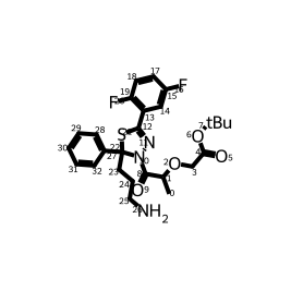 CC(OCC(=O)OC(C)(C)C)C(=O)N1N=C(c2cc(F)ccc2F)SC1(CCCN)c1ccccc1